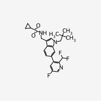 CC(C)(C)Cn1cc(CNS(=O)(=O)C2CC2)c2ccc(-c3cc(F)cnc3C(F)F)cc21